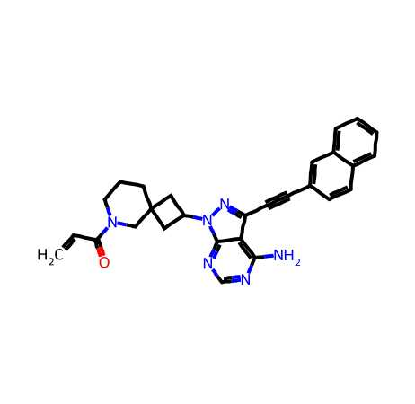 C=CC(=O)N1CCCC2(CC(n3nc(C#Cc4ccc5ccccc5c4)c4c(N)ncnc43)C2)C1